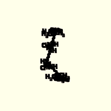 CON1C(C)(C)CC(CCCCNc2nc(Cl)nc(NCCCCCCNc3nc(Cl)nc(NCCCCC4CC(C)(C)N(OC)C(C)(C)C4)n3)n2)CC1(C)C